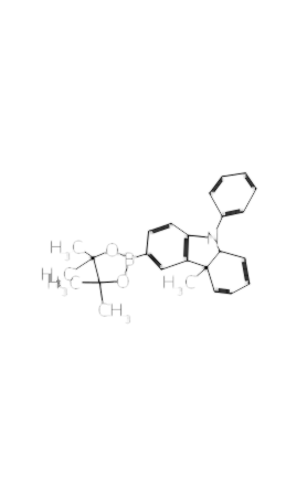 CC12C=CC=CC1N(c1ccccc1)c1ccc(B3OC(C)(C)C(C)(C)O3)cc12